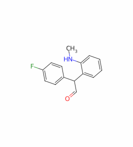 CNc1ccccc1C(C=O)c1ccc(F)cc1